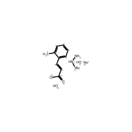 CC(C)(C)NN.Cc1ccccc1C=CC(=O)Cl.Cl.[Na+].[OH-]